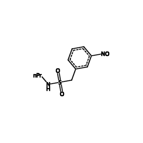 CCCNS(=O)(=O)Cc1cccc(N=O)c1